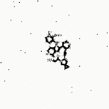 C=CC(=O)N1CC2(CC2)C[C@@H]1C#Cc1cnccc1-c1cc2c(n1Nc1cccc(F)c1OC)CCNC2=O